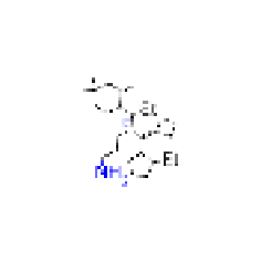 CC/C(C1=C(C)CC(C)(C)CC1)=C(/CCCN)C(=C1CCC1)C1CCCC1CC